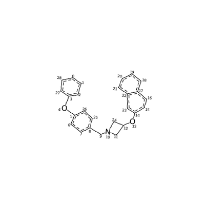 c1ccc(Oc2ccc(CN3CC(Oc4ccc5ccccc5c4)C3)cc2)cc1